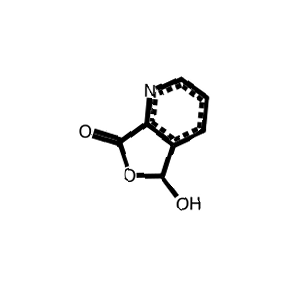 O=C1OC(O)c2cccnc21